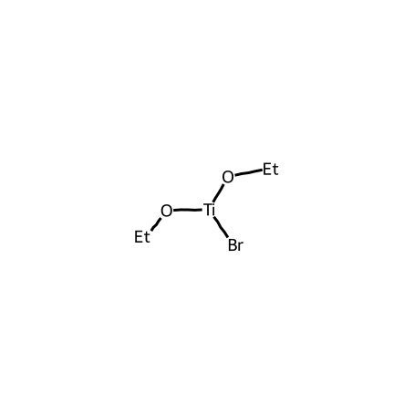 CC[O][Ti]([Br])[O]CC